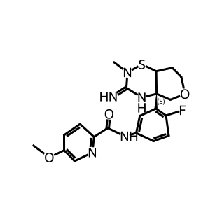 COc1ccc(C(=O)Nc2ccc(F)c([C@]34COCCC3SN(C)C(=N)N4)c2)nc1